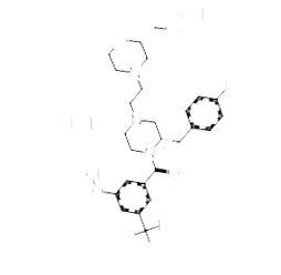 COC[C@@H]1CN(CCN2CCN(C(=O)c3cc(OC)cc(C(F)(F)F)c3)[C@H](Cc3ccc(F)cc3)C2)CCO1.Cl.Cl